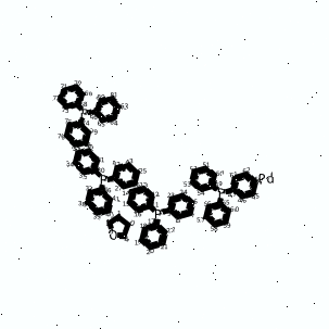 C1CCOC1.[Pd].c1ccc(P(c2ccccc2)c2ccccc2)cc1.c1ccc(P(c2ccccc2)c2ccccc2)cc1.c1ccc(P(c2ccccc2)c2ccccc2)cc1.c1ccc(P(c2ccccc2)c2ccccc2)cc1